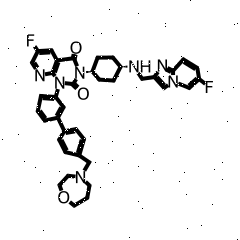 O=c1c2cc(F)cnc2n(-c2cccc(-c3ccc(CN4CCCOCC4)cc3)c2)c(=O)n1[C@H]1CC[C@@H](NCc2cn3cc(F)ccc3n2)CC1